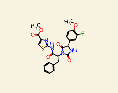 COC(=O)c1csc(NC(=O)[C@H](Cc2ccccc2)N2C(=O)N[C@H](c3ccc(OC)c(F)c3)C2=O)n1